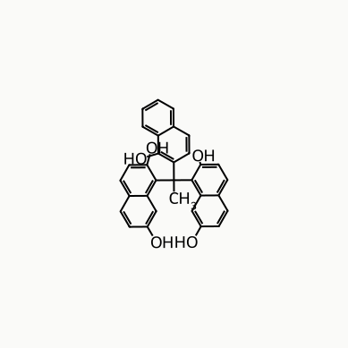 CC(c1ccc2ccccc2c1O)(c1c(O)ccc2ccc(O)cc12)c1c(O)ccc2ccc(O)cc12